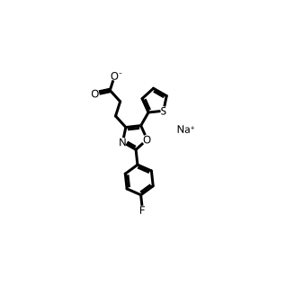 O=C([O-])CCc1nc(-c2ccc(F)cc2)oc1-c1cccs1.[Na+]